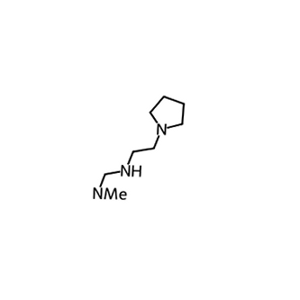 CNCNCCN1CCCC1